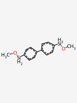 CO[SiH2]c1ccc(-c2ccc([SiH2]OC)cc2)cc1